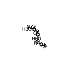 O=C(O)OC1CCOc2cc(Oc3ccc(C(=O)Nc4cncc(-c5ccc(C(F)(F)F)cc5)n4)cc3)c(Cl)cc21